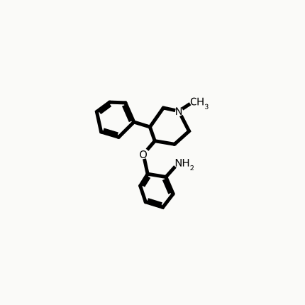 CN1CCC(Oc2ccccc2N)C(c2ccccc2)C1